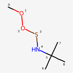 COOSNC(C)(C)C